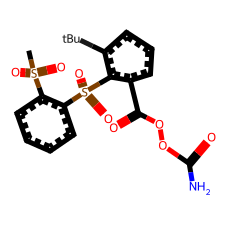 CC(C)(C)c1cccc(C(=O)OOC(N)=O)c1S(=O)(=O)c1ccccc1S(C)(=O)=O